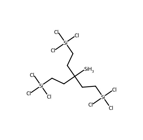 [SiH3]C(CC[Si](Cl)(Cl)Cl)(CC[Si](Cl)(Cl)Cl)CC[Si](Cl)(Cl)Cl